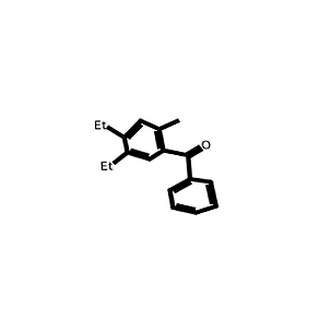 CCc1cc(C)c(C(=O)c2ccccc2)cc1CC